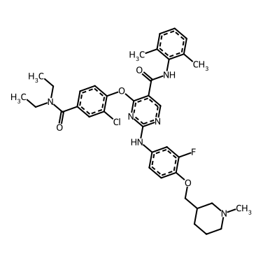 CCN(CC)C(=O)c1ccc(Oc2nc(Nc3ccc(OCC4CCCN(C)C4)c(F)c3)ncc2C(=O)Nc2c(C)cccc2C)c(Cl)c1